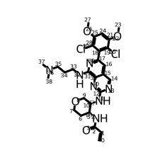 C=CC(=O)N[C@H]1CCOC[C@H]1Nc1ncc2cc(-c3c(Cl)c(OC)cc(OC)c3Cl)nc(NCCCN(C)C)c2n1